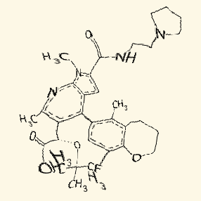 Cc1nc2c(cc(C(=O)NCCN3CCCC3)n2C)c(-c2cc(F)c3c(c2C)CCCO3)c1[C@H](OC(C)(C)C)C(=O)O